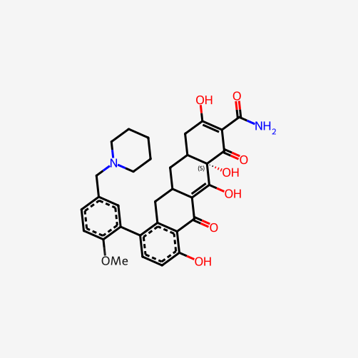 COc1ccc(CN2CCCCC2)cc1-c1ccc(O)c2c1CC1CC3CC(O)=C(C(N)=O)C(=O)[C@@]3(O)C(O)=C1C2=O